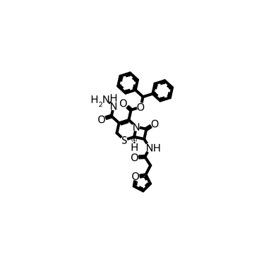 NNC(=O)C1=C(C(=O)OC(c2ccccc2)c2ccccc2)N2C(=O)C(NC(=O)Cc3ccco3)[C@H]2SC1